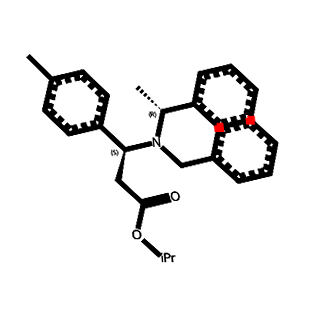 Cc1ccc([C@H](CC(=O)OC(C)C)N(Cc2ccccc2)[C@H](C)c2ccccc2)cc1